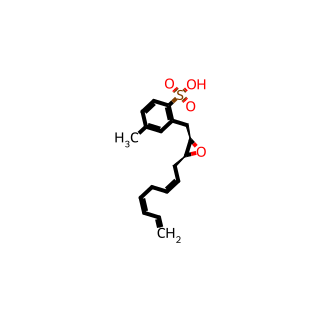 C=C/C=C\C/C=C\C[C@@H]1O[C@@H]1Cc1cc(C)ccc1S(=O)(=O)O